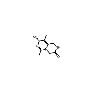 CC(=O)[C@@H]1N=C(C)N2CC(=O)NCC2=C1C